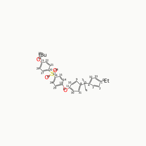 CCc1ccc(C(C)(C)c2ccc(Oc3ccc(S(=O)(=O)c4ccc(OC(C)(C)C)cc4)cc3)cc2)cc1